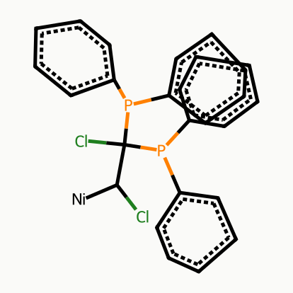 Cl[CH]([Ni])C(Cl)(P(c1ccccc1)c1ccccc1)P(c1ccccc1)c1ccccc1